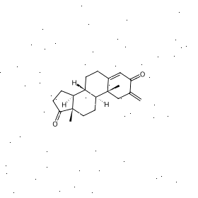 C=C1C[C@@]2(C)C(=CC1=O)CC[C@@H]1[C@@H]2CC[C@]2(C)C(=O)CC[C@@H]12